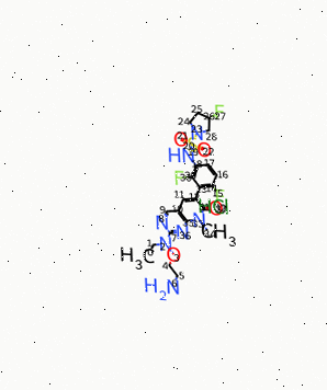 CCN(OCCN)c1ncc2cc(-c3c(F)ccc(NS(=O)(=O)N4CC[C@@H](F)C4)c3F)c(=O)n(C)c2n1.Cl